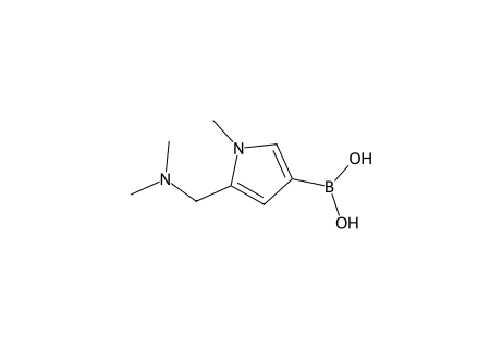 CN(C)Cc1cc(B(O)O)cn1C